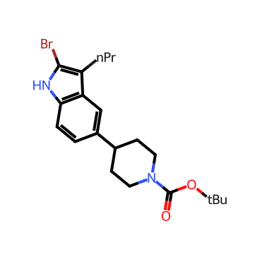 CCCc1c(Br)[nH]c2ccc(C3CCN(C(=O)OC(C)(C)C)CC3)cc12